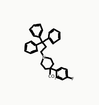 O=C(O)C1(c2ccc(F)cc2)CCN(CCC(c2ccccc2)(c2ccccc2)c2ccccc2)CC1